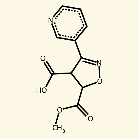 COC(=O)C1ON=C(c2cccnc2)C1C(=O)O